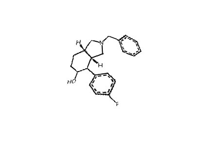 OC1CC[C@@H]2CN(Cc3ccccc3)C[C@@H]2C1c1ccc(F)cc1